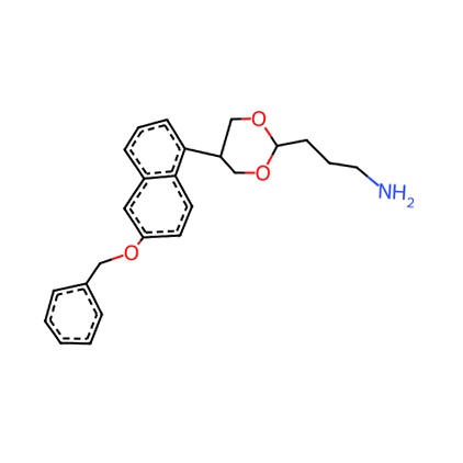 NCCCC1OCC(c2cccc3cc(OCc4ccccc4)ccc23)CO1